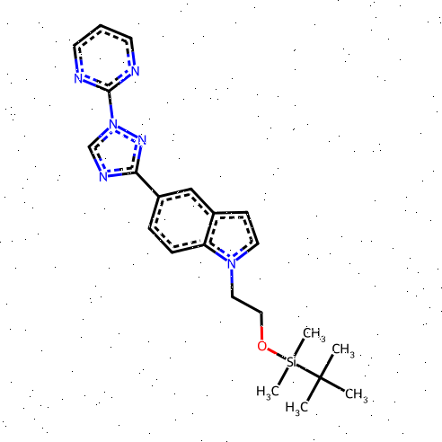 CC(C)(C)[Si](C)(C)OCCn1ccc2cc(-c3ncn(-c4ncccn4)n3)ccc21